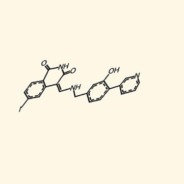 O=C1NC(=O)c2ccc(I)cc2/C1=C/NCc1ccc(-c2cccnc2)c(O)c1